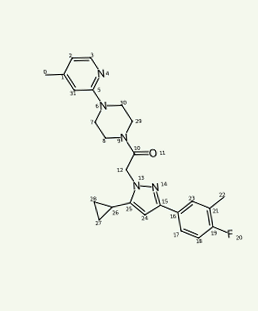 Cc1ccnc(N2CCN(C(=O)Cn3nc(-c4ccc(F)c(C)c4)cc3C3CC3)CC2)c1